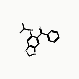 CC(C)Nc1cc2c(cc1C(=O)c1ccccc1)OCO2